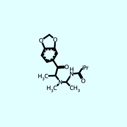 CC(C)C(=O)NC(C)N(C)C(C)C(=O)c1ccc2c(c1)OCO2